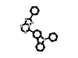 c1ccc(-c2nc3ncnc(-c4ccc5c(c4)c4ccccc4n5-c4ccccc4)n3n2)cc1